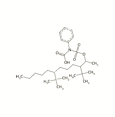 CCCCCC(CCCC(C(C)OS(=O)(=O)N(C(=O)O)c1ccccc1)C(C)(C)C)C(C)(C)C